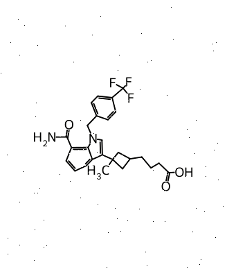 CC1(c2cn(Cc3ccc(C(F)(F)F)cc3)c3c(C(N)=O)cccc23)CC(CCCC(=O)O)C1